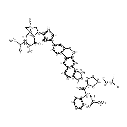 COC(=O)N[C@H](C(=O)N1[C@@H]2C[C@@H]2C[C@H]1c1ncc(-c2ccc3c(c2)COc2cc4c(ccc5nc([C@@H]6C[C@H](COC(F)F)CN6C(=O)[C@H](NC(=O)OC)c6ccccc6)[nH]c54)cc2-3)[nH]1)C(C)C